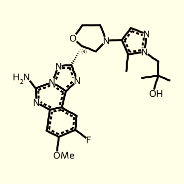 COc1cc2nc(N)n3nc([C@H]4CN(c5cnn(CC(C)(C)O)c5C)CCO4)nc3c2cc1F